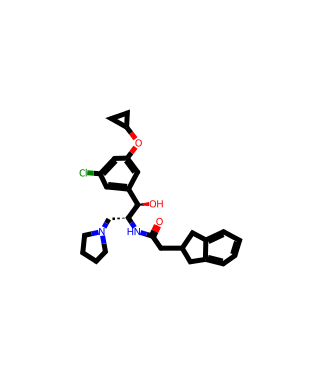 O=C(CC1Cc2ccccc2C1)N[C@H](CN1CCCC1)[C@H](O)c1cc(Cl)cc(OC2CC2)c1